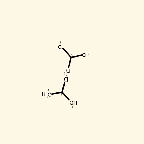 CC(O)Cl.ClC(Cl)Cl